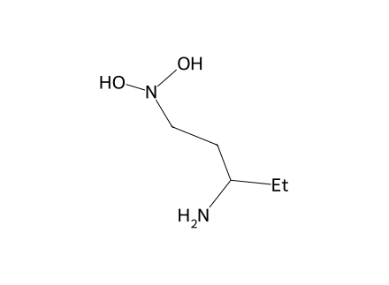 CCC(N)CCN(O)O